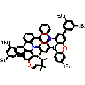 C[C@@H]1B2c3cc4c(cc3N(c3c(-c5ccccc5)cccc3-c3ccccc3)c3cc(-c5cc(C(C)(C)C)cc(C(C)(C)C)c5)cc(c32)O/C=C/C1(C)C)N(c1ccccc1)c1cc(-c2cc(C(C)(C)C)cc(C(C)(C)C)c2)cc2c1B4c1ccc(C(C)(C)C)cc1O2